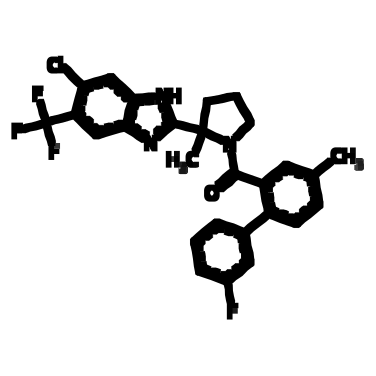 Cc1ccc(-c2cccc(F)c2)c(C(=O)N2CCCC2(C)c2nc3cc(C(F)(F)F)c(Cl)cc3[nH]2)c1